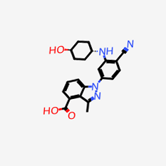 Cc1nn(-c2ccc(C#N)c(N[C@H]3CC[C@H](O)CC3)c2)c2cccc(C(=O)O)c12